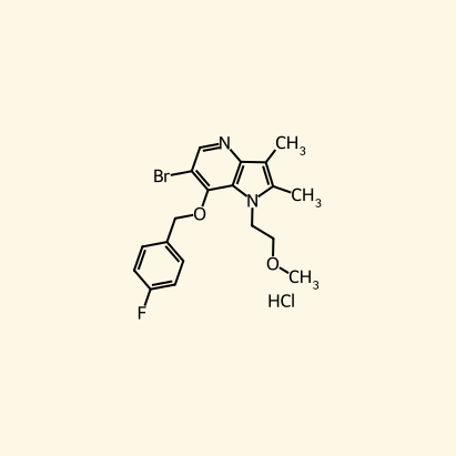 COCCn1c(C)c(C)c2ncc(Br)c(OCc3ccc(F)cc3)c21.Cl